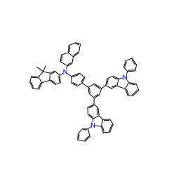 CC1(C)c2ccccc2-c2ccc(N(c3ccc(-c4cc(-c5ccc6c(c5)c5ccccc5n6-c5ccccc5)cc(-c5ccc6c(c5)c5ccccc5n6-c5ccccc5)c4)cc3)c3ccc4ccccc4c3)cc21